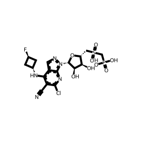 N#Cc1c(Cl)nc2c(cnn2[C@@H]2O[C@H](CS(=O)(=O)CP(=O)(O)O)[C@@H](O)[C@H]2O)c1N[C@H]1C[C@H](F)C1